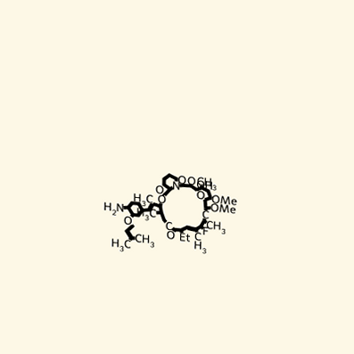 CCC1/C=C(\C)C(F)C(C)CC(OC)C2OC(O)(C(=O)C(=O)N3CCCCC3C(=O)OC(C(C)=CC3CCC(N)C(OCC=C(C)C)C3)C(C)CCC1=O)C(C)CC2OC